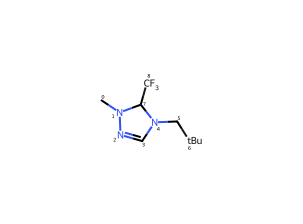 CN1N=CN(CC(C)(C)C)C1C(F)(F)F